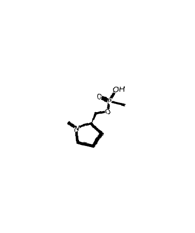 CN1CCC[C@@H]1COP(C)(=O)O